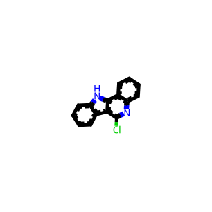 Clc1nc2ccccc2c2[nH]c3ccccc3c12